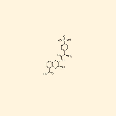 N[C@@H](C(=O)N[C@H]1Cc2cccc(C(=O)O)c2OB1O)c1ccc(P(=O)(O)O)cc1